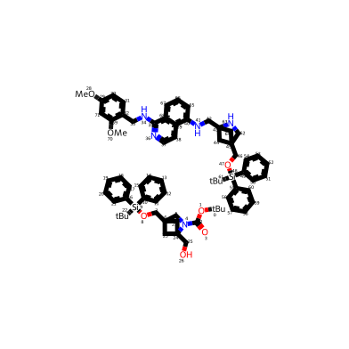 CC(C)(C)OC(=O)N1CC2(CO[Si](c3ccccc3)(c3ccccc3)C(C)(C)C)CC1(CO)C2.COc1ccc(CNc2nccc3c(NCC45CC(CO[Si](c6ccccc6)(c6ccccc6)C(C)(C)C)(CN4)C5)cccc23)c(OC)c1